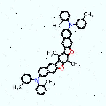 Cc1cccc(N(c2ccc3cc4c(cc3c2)oc2c(C)c3oc5cc6cc(N(c7cccc(C)c7)c7ccccc7C)ccc6cc5c3c(C)c24)c2ccccc2C)c1